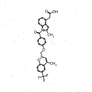 CC1=CN(COc2ccc(C(=O)n3c(C)cc4c(CC(=O)O)cccc43)cc2)Oc2ccc(C(F)(F)F)cc21